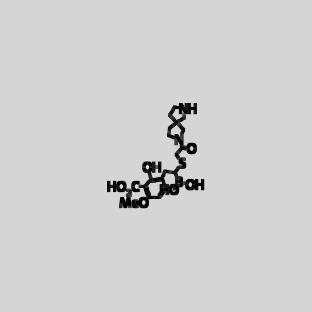 COc1ccc(CC(SCC(=O)N2CCC3(CCNC3)C2)B(O)O)c(O)c1C(=O)O